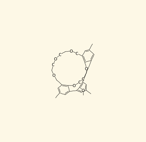 COc1c2cc(C)cc1-c1cc(C)cc3c1OCCCOc1c(cc(C)cc1-2)COCCOCCOC3